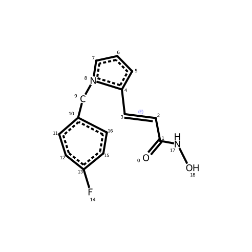 O=C(/C=C/c1cccn1Cc1ccc(F)cc1)NO